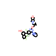 Oc1cc(-c2c(Cl)cc3c(N4CC5CCC(C4)N5)nc(OCC4(CN5CC6COCC6C5)CC4)nc3c2F)c2c(F)c(F)ccc2c1